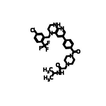 CC(C)NC(=O)CN1CCN(C(=O)c2ccc(-c3cnc4c(c3)N(Cc3cc(Cl)ccc3C(F)(F)F)CCN4)cc2)CC1